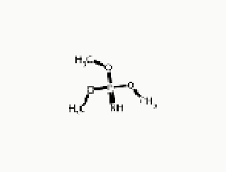 COP(=N)(OC)OC